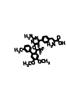 COc1cc(-c2cccc(C)c2)c(C(Oc2cc(-c3ccc(CC(N)C(=O)O)cc3)nc(N)n2)C(F)(F)F)cc1OC